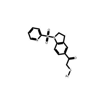 CC(=O)SCC(=O)c1ccc2c(c1)CCN2S(=O)(=O)c1ccccn1